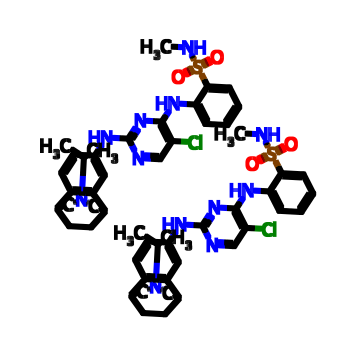 CNS(=O)(=O)c1ccccc1Nc1nc(Nc2ccc3c(c2)C2CCC3CN(C(C)C)C2)ncc1Cl.CNS(=O)(=O)c1ccccc1Nc1nc(Nc2ccc3c(c2)C2CCC3CN(C(C)C)C2)ncc1Cl